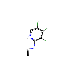 C=CNc1ncc(Br)c(Cl)c1F